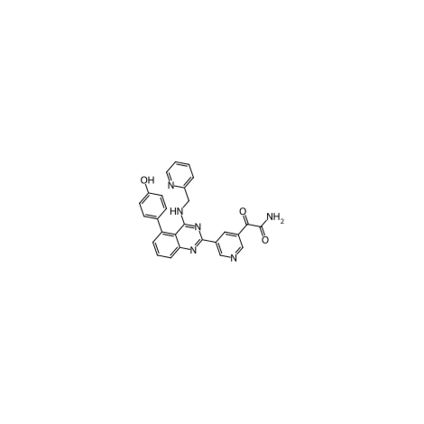 NC(=O)C(=O)c1cncc(-c2nc(NCc3ccccn3)c3c(-c4ccc(O)cc4)cccc3n2)c1